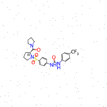 O=C(Nc1ccc(C(F)(F)F)cc1)Nc1ccc(S(=O)(=O)N2CCC[C@H]2C(=O)N2CCCC2)cc1